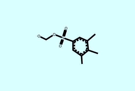 Cc1cc(S(=O)(=O)OC[O])cc(C)c1C